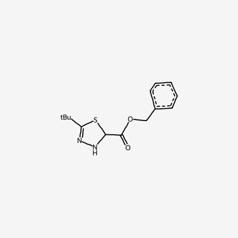 CC(C)(C)C1=NNC(C(=O)OCc2ccccc2)S1